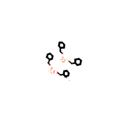 O=P([O-])(OCCc1ccccc1)OCCc1ccccc1.O=P([O-])(OCCc1ccccc1)OCCc1ccccc1.[Ni+2]